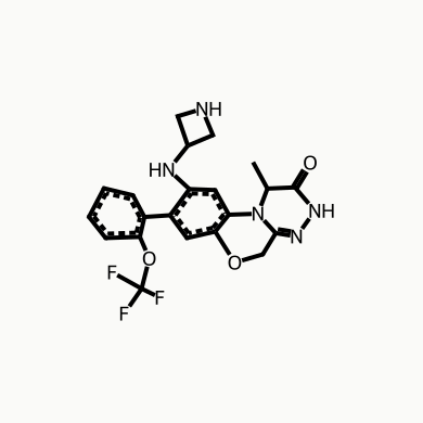 CC1C(=O)NN=C2COc3cc(-c4ccccc4OC(F)(F)F)c(NC4CNC4)cc3N21